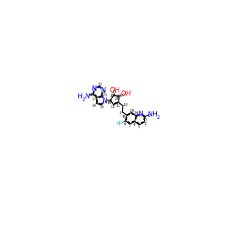 Nc1ccc2cc(F)c(CCC3=C[C@@H](n4ccc5c(N)ncnc54)[C@H](O)[C@@H]3O)cc2n1